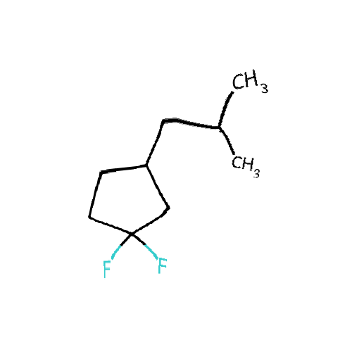 C[C](C)CC1CCC(F)(F)C1